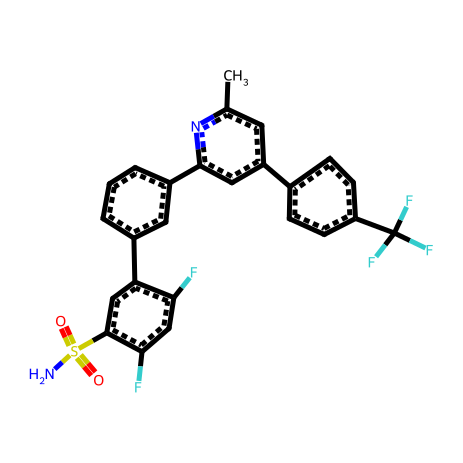 Cc1cc(-c2ccc(C(F)(F)F)cc2)cc(-c2cccc(-c3cc(S(N)(=O)=O)c(F)cc3F)c2)n1